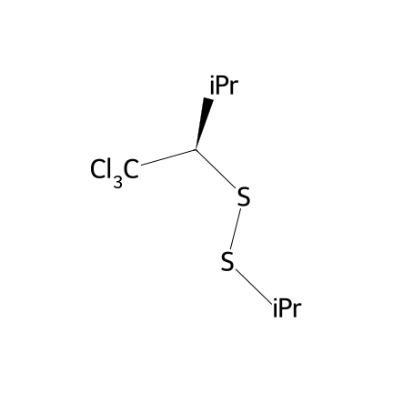 CC(C)SS[C@H](C(C)C)C(Cl)(Cl)Cl